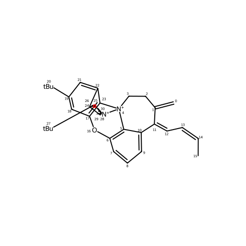 C=C1CC[N+]23c4c(cccc4/C1=C/C=C\C)Oc1cc(C(C)(C)C)cc(c12)-c1cc(C(C)(C)C)cc[n+]13